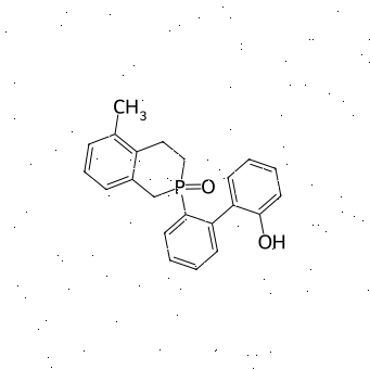 Cc1cccc2c1CCP(=O)(c1ccccc1-c1ccccc1O)C2